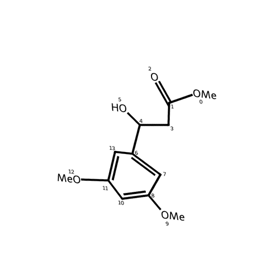 COC(=O)CC(O)c1cc(OC)cc(OC)c1